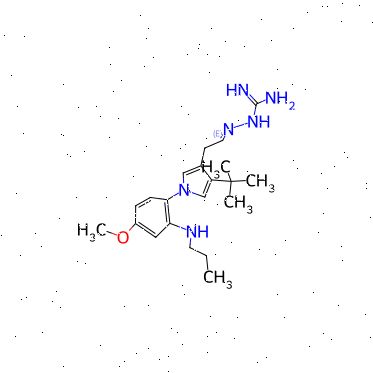 CCCNc1cc(OC)ccc1-n1cc(C/C=N/NC(=N)N)c(C(C)(C)C)c1